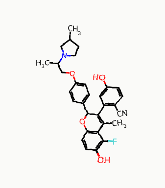 CC1=C(c2cc(O)ccc2C#N)C(c2ccc(OCC(C)N3CCC(C)C3)cc2)Oc2ccc(O)c(F)c21